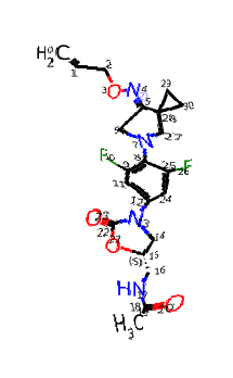 C=CCO/N=C1\CN(c2c(F)cc(N3C[C@H](CNC(C)=O)OC3=O)cc2F)CC12CC2